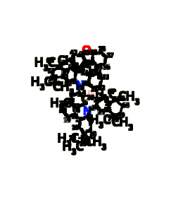 Cc1cc2c3c(c1)N(c1ccc(C(C)(C)C)cc1-c1ccccc1)c1cc4c(cc1B3c1ccc(-c3cccc5oc6ccccc6c35)cc1N2c1cc2c(cc1C)C(C)(C)CC2(C)C)C(C)(C)CCC4(C)C